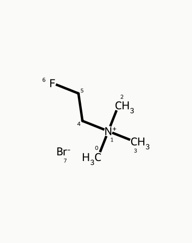 C[N+](C)(C)CCF.[Br-]